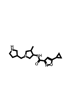 CC1CN(CC2CCNC2)CC1NC(=O)c1cc(C2CC2)on1